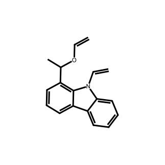 C=COC(C)c1cccc2c3ccccc3n(C=C)c12